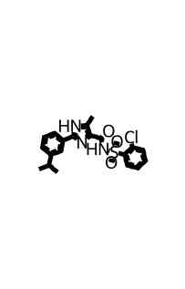 Cc1[nH]c(-c2cccc(C(C)C)c2)nc1C(=O)NS(=O)(=O)c1ccccc1Cl